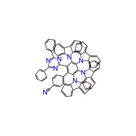 N#Cc1ccc(-c2c(-c3nc(-c4ccccc4)nc(-c4ccccc4)n3)c(-n3c4ccccc4c4ccccc43)c(-n3c4ccccc4c4ccccc43)c(-n3c4ccccc4c4ccccc43)c2-n2c3ccccc3c3ccccc32)cc1